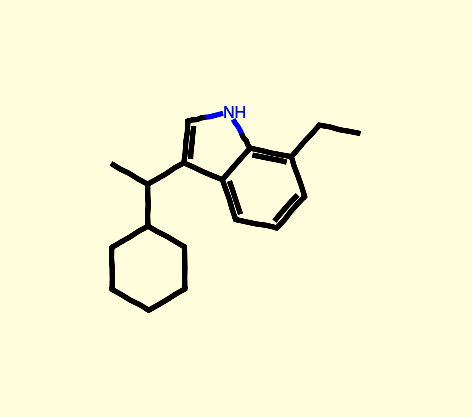 CCc1cccc2c(C(C)C3CCCCC3)c[nH]c12